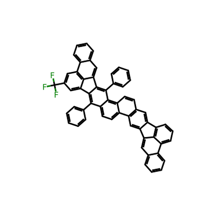 FC(F)(F)c1cc2c3c(cc4ccccc4c3c1)-c1c-2c(-c2ccccc2)c2ccc3c4cc5c(cc4ccc3c2c1-c1ccccc1)-c1cccc2c1c-5cc1ccccc12